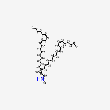 CCCCC/C=C\C/C=C\CCCCCCCCC1(CCCCCCCC/C=C\C/C=C\CCCCC)CC1CNC